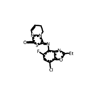 CCc1nc2c(N=c3sc(=O)n4n3CCC=C4)c(F)cc(Cl)c2o1